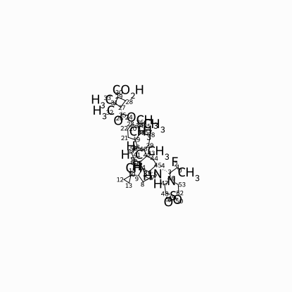 C[C@H](F)[C@@H](CN[C@]12CC[C@@H](C3(C)CC3)[C@@H]1[C@H]1CC[C@@H]3[C@@]4(C)CC[C@H](OC(=O)[C@H]5C[C@@H](C(=O)O)C5(C)C)C(C)(C)[C@@H]4CC[C@@]3(C)[C@]1(C)CC2)N1CCS(=O)(=O)CC1